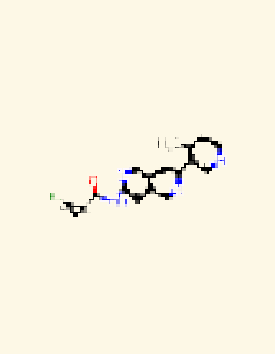 Cc1ccncc1-c1cc2cnc(NC(=O)[C@H]3C[C@@H]3F)cc2cn1